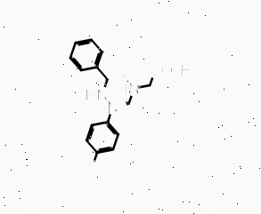 C[C@H](N[N+](=CNCC(=O)O)c1ccc(F)cc1)c1ccccc1